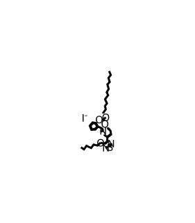 CCCCCCCCCCCCCOC(=O)OC(c1ccccc1)[N+]1(C)CCC=C(c2nsnc2OCCCCCC)C1.[I-]